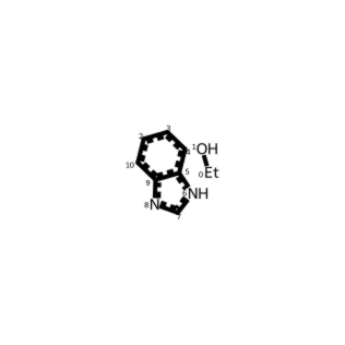 CCO.c1ccc2[nH]cnc2c1